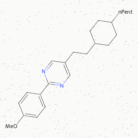 CCCCCC1CCC(CCc2cnc(-c3ccc(OC)cc3)nc2)CC1